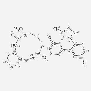 C[C@@H]1CCC[C@H](n2ccc(-c3cc(Cl)ccc3-n3cc(Cl)nn3)cc2=O)C(=O)NCc2ccccc2NC1=O